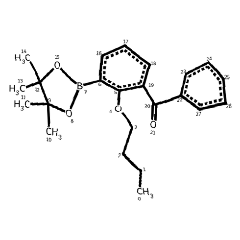 CCCCOc1c(B2OC(C)(C)C(C)(C)O2)cccc1C(=O)c1ccccc1